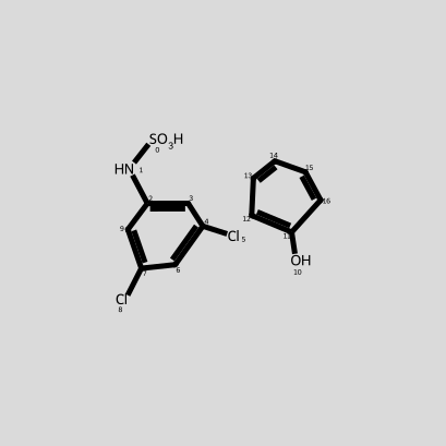 O=S(=O)(O)Nc1cc(Cl)cc(Cl)c1.Oc1ccccc1